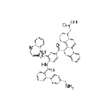 C1=CNc2ccccc2N=C1.Cc1cc(C(=O)C2Cc3ccccc3-c3ccc4c(c32)CCCC4CC(=O)O)ccc1NC(=O)c1ccccc1-c1ccc(CN)cc1